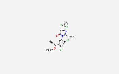 C#CC(OC(=O)O)c1cc(-n2c(OC)nc(C(F)(F)C(F)(F)F)cc2=O)c(F)cc1Cl